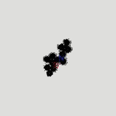 c1ccc(-c2ccccc2-c2ccc3oc4c(-c5ccc6c(c5)c5ccccc5n6-c5ccc(-c6c7ccccc7c(-c7ccccc7)c7ccccc67)cc5)cc(-c5ccccc5-c5ccccc5)cc4c3c2)cc1